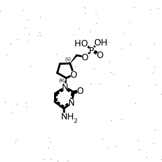 Nc1ccn([C@H]2CC[C@@H](COP(=O)(O)O)O2)c(=O)n1